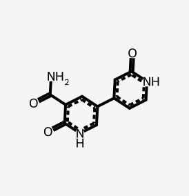 NC(=O)c1cc(-c2cc[nH]c(=O)c2)c[nH]c1=O